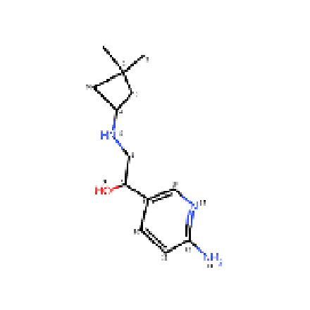 CC1(C)CC(NCC(O)c2ccc(N)nc2)C1